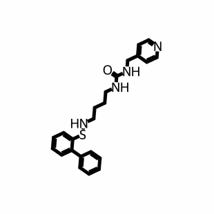 O=C(NCCCCNSc1ccccc1-c1ccccc1)NCc1ccncc1